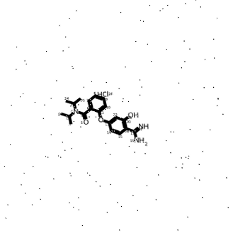 CC(C)N(C(=O)c1ccccc1Oc1ccc(C(=N)N)c(O)c1)C(C)C.Cl